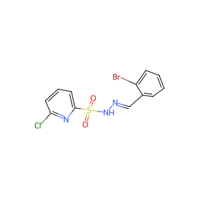 O=S(=O)(N/N=C/c1ccccc1Br)c1cccc(Cl)n1